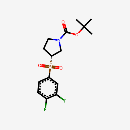 CC(C)(C)OC(=O)N1CC[C@@H](S(=O)(=O)c2ccc(F)c(F)c2)C1